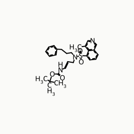 Cc1cncc2cccc(S(=O)(=O)N(CC=CNC(=O)OC(C)(C)C)CCCc3ccccc3)c12